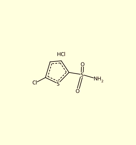 Cl.NS(=O)(=O)c1ccc(Cl)s1